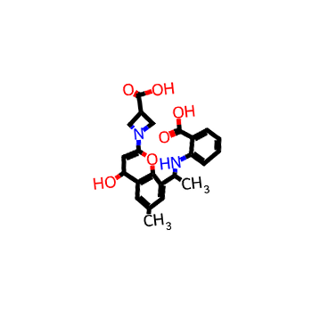 Cc1cc2c(c(C(C)Nc3ccccc3C(=O)O)c1)OC(N1CC(C(=O)O)C1)=CC2O